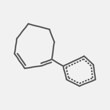 C1=CCCCCC(c2ccccc2)=C1